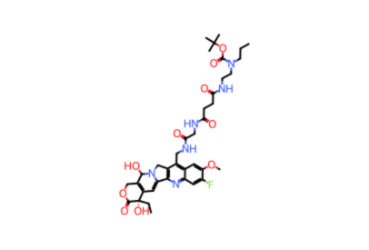 CCCN(CCNC(=O)CCC(=O)NCC(=O)NCc1c2c(nc3cc(F)c(OC)cc13)C1=CC3=C(COC(=O)[C@]3(O)CC)C(O)N1C2)C(=O)OC(C)(C)C